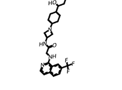 CCC(O)C1CCC(N2CC(NC(=O)CNc3nccc4ccc(C(F)(F)F)cc34)C2)CC1